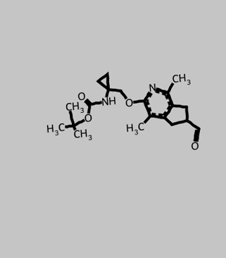 Cc1nc(OCC2(NC(=O)OC(C)(C)C)CC2)c(C)c2c1CC(C=O)C2